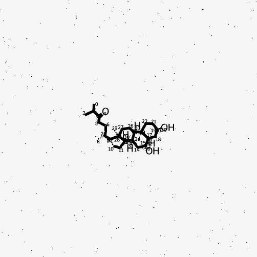 CC(C)C(=O)CC[C@@H](C)[C@H]1CC[C@H]2[C@@H]3C[C@H](O)[C@@H]4C[C@H](O)CC[C@]4(C)[C@H]3CC[C@]12C